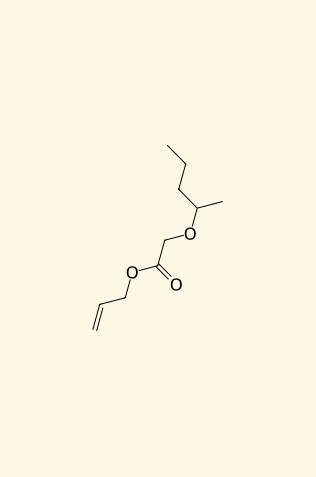 C=CCOC(=O)COC(C)CCC